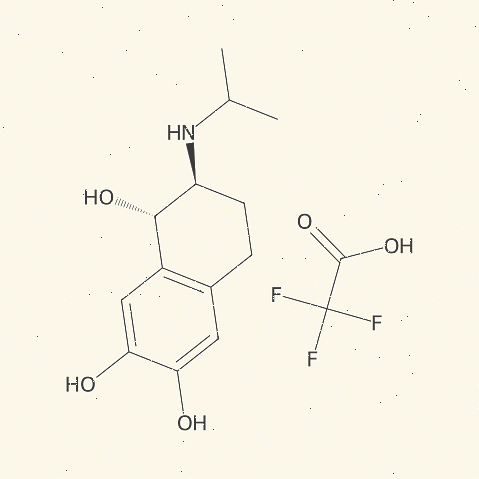 CC(C)N[C@H]1CCc2cc(O)c(O)cc2[C@@H]1O.O=C(O)C(F)(F)F